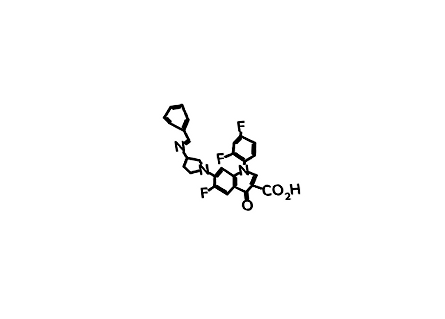 O=C(O)c1cn(-c2ccc(F)cc2F)c2cc(N3CCC(N=Cc4ccccc4)C3)c(F)cc2c1=O